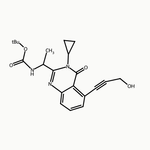 CC(NC(=O)OC(C)(C)C)c1nc2cccc(C#CCO)c2c(=O)n1C1CC1